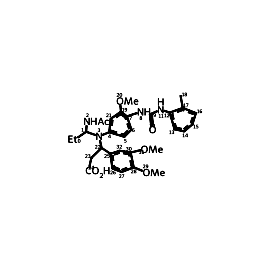 CCC(NC(C)=O)N(c1ccc(NC(=O)Nc2ccccc2C)c(OC)c1)C(CC(=O)O)c1ccc(OC)c(OC)c1